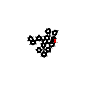 c1ccc([Si](c2ccccc2)(c2ccccc2)c2ccc3c(-c4cccc(-c5cccc6ccccc56)c4)c4ccc([Si](c5ccccc5)(c5ccccc5)c5ccccc5)cc4c(-c4cccc5ccccc45)c3c2)cc1